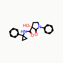 O=C(NC1(c2ccccc2)CC1)[C@@]1(O)CCN(c2ccccc2)C1=O